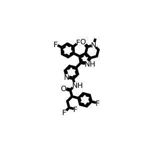 CN1CCc2[nH]c(-c3ccnc(NC(=O)C(CC(F)F)c4ccc(F)cc4)c3)c(-c3ccc(F)cc3F)c2C1=O